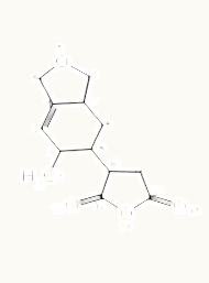 CC1C=C2COCC2CC1C1CC(=O)OC1=O